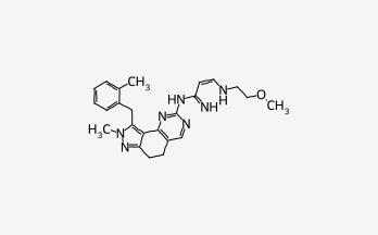 COCCN/C=C\C(=N)Nc1ncc2c(n1)-c1c(nn(C)c1Cc1ccccc1C)CC2